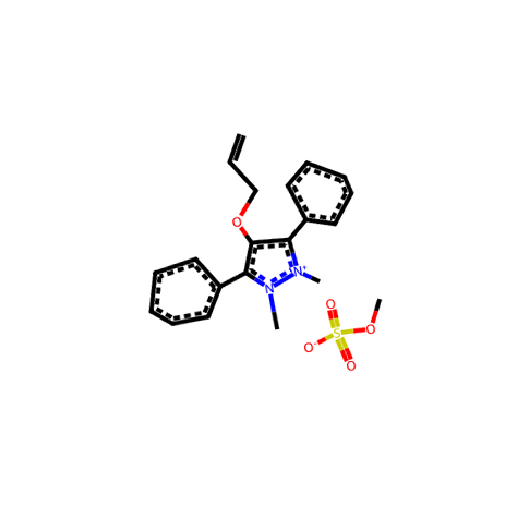 C=CCOc1c(-c2ccccc2)n(C)[n+](C)c1-c1ccccc1.COS(=O)(=O)[O-]